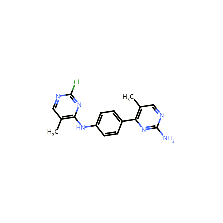 Cc1cnc(Cl)nc1Nc1ccc(-c2nc(N)ncc2C)cc1